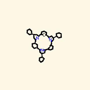 c1ccc(-c2cc3nc(c2)c2cccc(c2)c2cc(-c4ccccc4)cc(n2)c2cccc(c2)c2cc(-c4ccccc4)cc(n2)c2cccc3c2)cc1